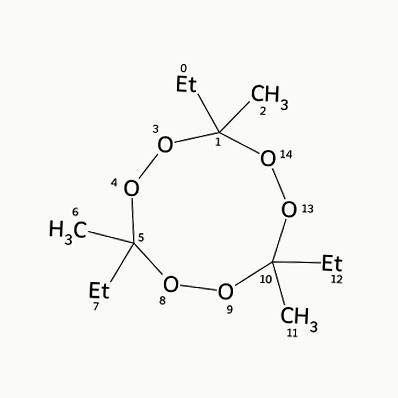 CCC1(C)OOC(C)(CC)OOC(C)(CC)OO1